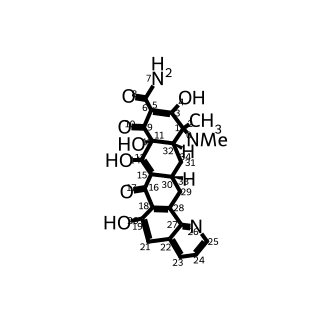 CNC1(C)C(O)=C(C(N)=O)C(=O)[C@@]2(O)C(O)=C3C(=O)c4c(O)cc5cccnc5c4C[C@H]3C[C@@H]12